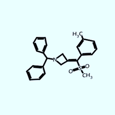 Cc1cccc(C(=C2CN(C(c3ccccc3)c3ccccc3)C2)S(C)(=O)=O)c1